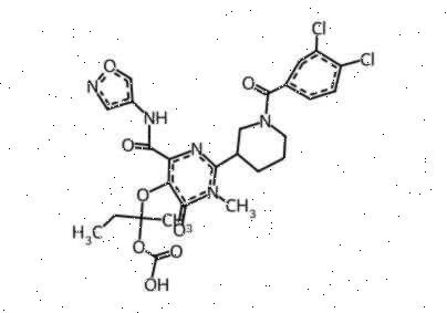 CCC(C)(OC(=O)O)Oc1c(C(=O)Nc2cnoc2)nc(C2CCCN(C(=O)c3ccc(Cl)c(Cl)c3)C2)n(C)c1=O